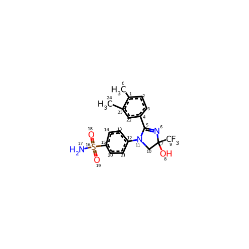 Cc1ccc(C2=NC(O)(C(F)(F)F)CN2c2ccc(S(N)(=O)=O)cc2)cc1C